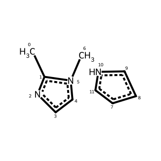 Cc1nccn1C.c1cc[nH]c1